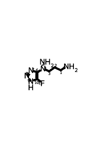 NCCCN(N)c1nn[nH]c1F